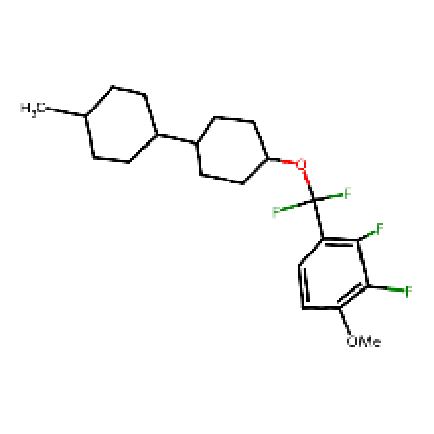 COc1ccc(C(F)(F)OC2CCC(C3CCC(C)CC3)CC2)c(F)c1F